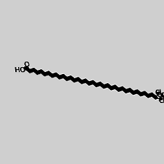 O=C(O)CCCCCCCCCCCCCCCCCCCCCCCCCCCCCCCCCCC[Si](Cl)(Cl)Cl